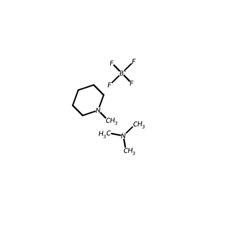 CN(C)C.CN1CCCCC1.F[B-](F)(F)F